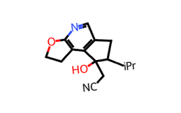 CC(C)C1Cc2cnc3c(c2C1(O)CC#N)CCO3